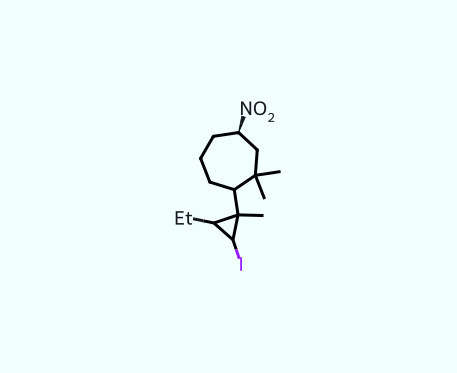 CCC1C(I)C1(C)C1CCC[C@@H]([N+](=O)[O-])CC1(C)C